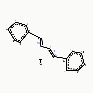 C(/C=C/c1ccccc1)=C\c1ccccc1.[Ti]